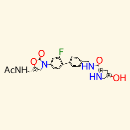 CC(=O)NC[C@H]1CN(c2ccc(-c3ccc(CNC(=O)[C@@H]4C[C@@H](O)CN4)cc3)c(F)c2)C(=O)O1